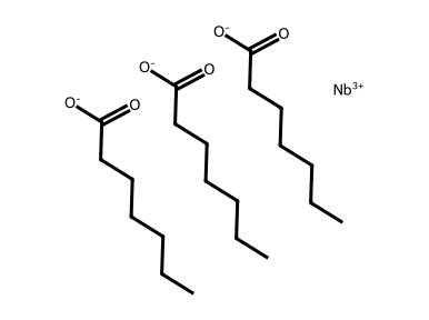 CCCCCCC(=O)[O-].CCCCCCC(=O)[O-].CCCCCCC(=O)[O-].[Nb+3]